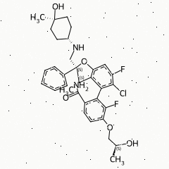 C[C@H](O)COc1ccc(C(N)=O)c(-c2c(Cl)c(F)cc3c2[C@H](C)[C@@](CN[C@H]2CC[C@](C)(O)CC2)(c2ccccc2)O3)c1F